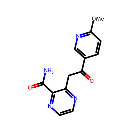 COc1ccc(C(=O)Cc2nccnc2C(N)=O)cn1